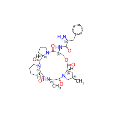 C[C@@H]1C[C@H]2C(=O)OC[C@H](NC(=O)[C@@H](N)Cc3ccccc3)C(=O)N3CCC[C@H]3C(=O)N3CCCC[C@H]3C(=O)N[C@@H](C)C(=O)N2C1